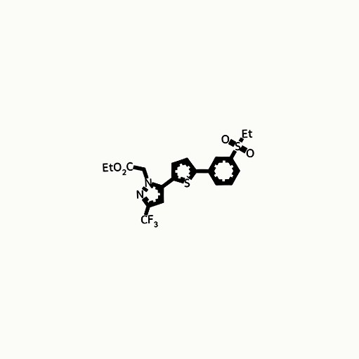 CCOC(=O)Cn1nc(C(F)(F)F)cc1-c1ccc(-c2cccc(S(=O)(=O)CC)c2)s1